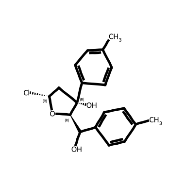 Cc1ccc(C(O)[C@H]2O[C@H](Cl)C[C@@]2(O)c2ccc(C)cc2)cc1